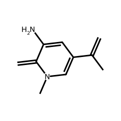 C=C(C)C1=CN(C)C(=C)C(N)=C1